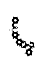 O=C(Cc1ccccc1)Nc1ccc(-c2ccc3ncc(N4CCCC4c4ccccc4)nc3c2)cc1